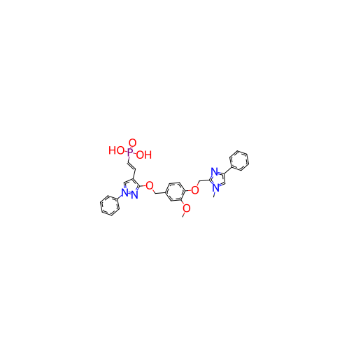 COc1cc(COc2nn(-c3ccccc3)cc2/C=C/P(=O)(O)O)ccc1OCc1nc(-c2ccccc2)cn1C